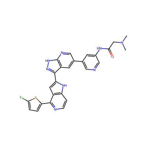 CN(C)CC(=O)Nc1cncc(-c2cnc3[nH]nc(-c4cc5c(-c6ccc(F)s6)nccc5[nH]4)c3c2)c1